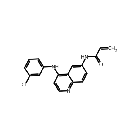 C=CC(=O)Nc1ccc2nccc(Nc3cccc(Cl)c3)c2c1